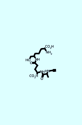 C#CNC(C)C(=O)NC(CCC(=O)NC(CO)CCCC(N)C(=O)O)C(=O)O